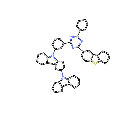 c1ccc(-c2nc(-c3cccc(-n4c5ccccc5c5cc(-n6c7ccccc7c7ccccc76)ccc54)c3)nc(-c3ccc4sc5ccccc5c4c3)n2)cc1